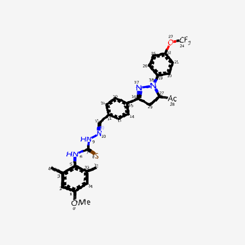 COc1cc(C)c(NC(=S)N/N=C/c2ccc(C3=NN(c4ccc(OC(F)(F)F)cc4)C(C(C)=O)C3)cc2)c(C)c1